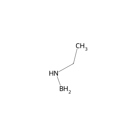 BNCC